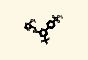 Cn1ncnc1CNc1cc(C(F)(F)F)cc(-c2ccc(S(C)(=O)=O)cc2)n1